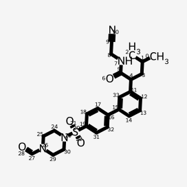 CC(C)CC(C(=O)NCC#N)c1cccc(-c2ccc(S(=O)(=O)N3CCN(C=O)CC3)cc2)c1